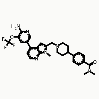 CN(C)C(=O)c1ccc(C2CCN(Cc3cc4c(-c5cnc(N)c(OC(F)(F)F)c5)ccnc4n3C)CC2)cc1